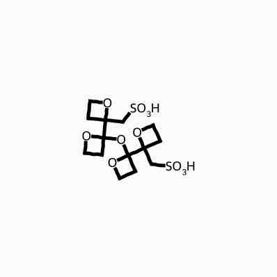 O=S(=O)(O)CC1(C2(OC3(C4(CS(=O)(=O)O)CCO4)CCO3)CCO2)CCO1